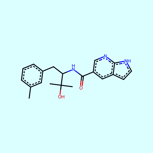 Cc1cccc(CC(NC(=O)c2cnc3[nH]ccc3c2)C(C)(C)O)c1